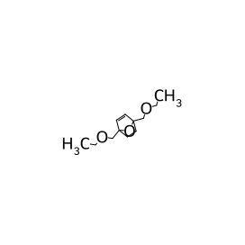 CCOCC12C=CC(COCC)(CC1)O2